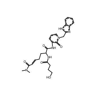 CN(C)C(=O)/C=C/CCC(NC(=O)CCCO)C(=O)Nc1cccn(Cc2nc3ccccc3[nH]2)c1=O